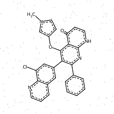 Cn1ccc(Oc2c(-c3cc(Cl)c4ncccc4c3)c(-c3ccccc3)nc3[nH]ccc(=O)c23)c1